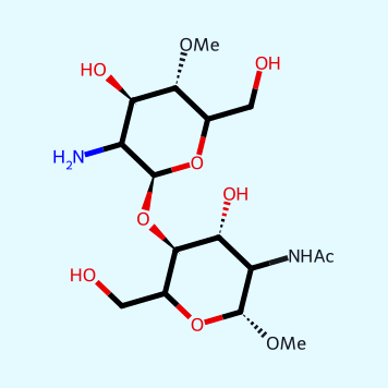 CO[C@@H]1OC(CO)[C@@H](O[C@@H]2OC(CO)[C@@H](OC)[C@H](O)C2N)[C@H](O)C1NC(C)=O